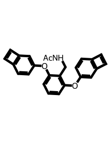 CC(=O)NCc1c(Oc2ccc3c(c2)C=C3)cccc1Oc1ccc2c(c1)C=C2